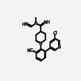 CN(C=N)C(=N)C1CCN(c2c(C#N)cccc2-c2cncc(Cl)c2)CC1